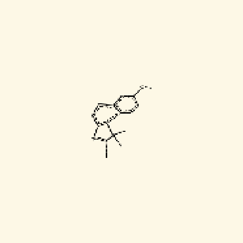 COc1ccc2c3c(ccc2c1)N=C(C)C3(C)C